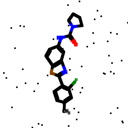 Cc1ccc(-c2nc3cc(NC(=O)N4CCCC4)ccc3s2)c(F)c1